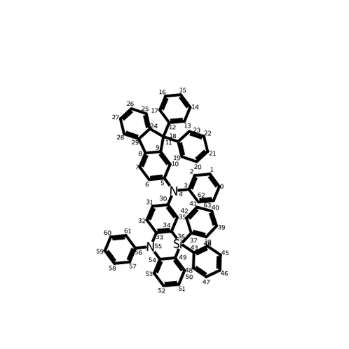 c1ccc(N(c2ccc3c(c2)C(c2ccccc2)(c2ccccc2)c2ccccc2-3)c2ccc3c(c2)[Si](c2ccccc2)(c2ccccc2)c2ccccc2N3c2ccccc2)cc1